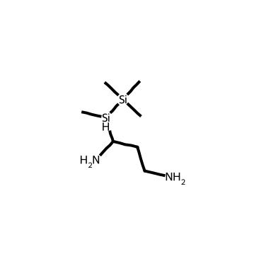 C[SiH](C(N)CCN)[Si](C)(C)C